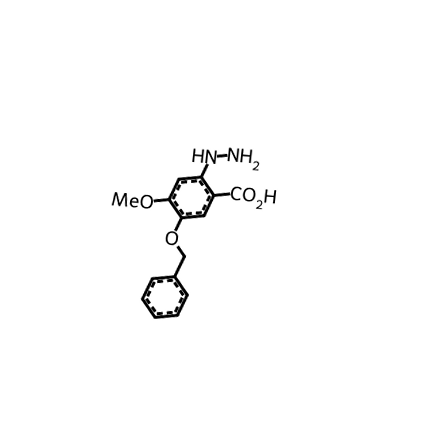 COc1cc(NN)c(C(=O)O)cc1OCc1ccccc1